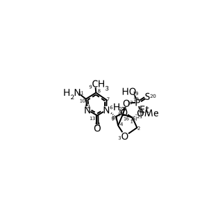 CC[C@@]12COC([C@H](n3cc(C)c(N)nc3=O)O1)[C@H]2OP(O)(=S)OC